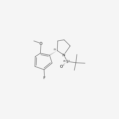 COc1ccc(F)cc1[C@@H]1CCCN1[S@@+]([O-])C(C)(C)C